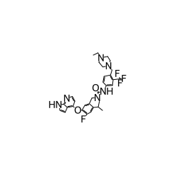 CCN1CCN(Cc2ccc(NC(=O)N3Cc4cc(Oc5ccnc6[nH]ccc56)c(F)cc4C(C)C3)cc2C(F)(F)F)CC1